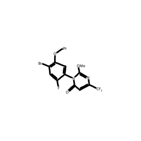 COc1nc(C(F)(F)F)cc(=O)n1-c1cc(OC(C)C)c(Br)cc1F